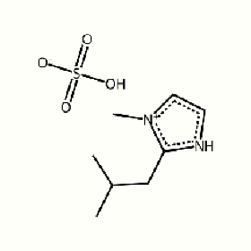 CC(C)Cc1[nH]cc[n+]1C.O=S(=O)([O-])O